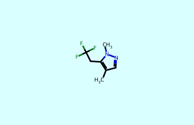 Cc1cnn(C)c1CC(F)(F)F